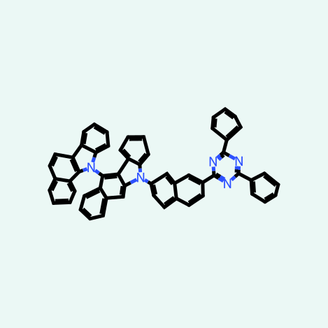 c1ccc(-c2nc(-c3ccccc3)nc(-c3ccc4ccc(-n5c6ccccc6c6c(-n7c8ccccc8c8ccc9ccccc9c87)c7ccccc7cc65)cc4c3)n2)cc1